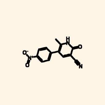 Cc1[nH]c(=O)c(C#N)cc1-c1ccc([N+](=O)[O-])cc1